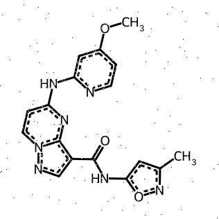 COc1ccnc(Nc2ccn3ncc(C(=O)Nc4cc(C)no4)c3n2)c1